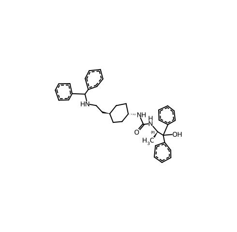 C[C@@H](NC(=O)N[C@H]1CC[C@H](CCNC(c2ccccc2)c2ccccc2)CC1)C(O)(c1ccccc1)c1ccccc1